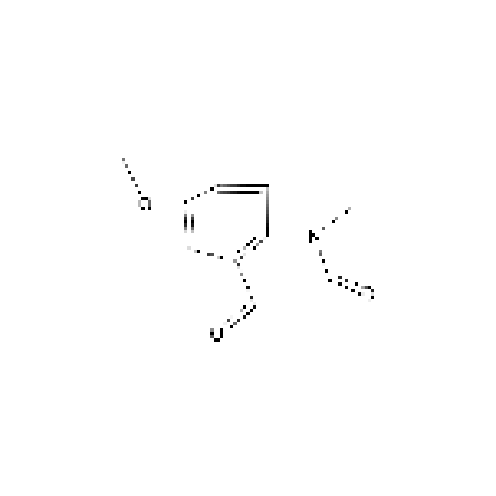 COc1ccc(N(C)C=O)c(C=O)c1